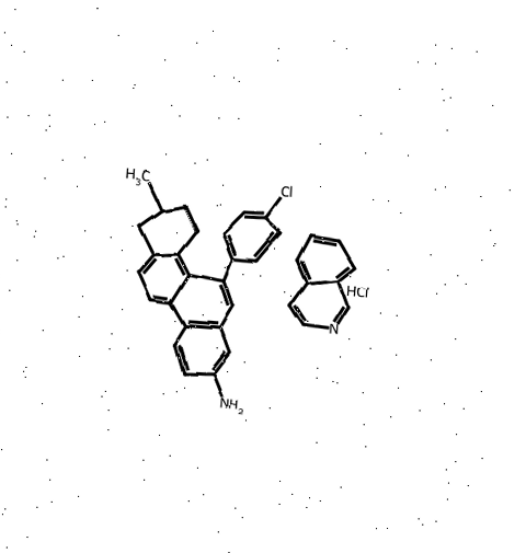 CC1CCc2c(ccc3c2c(-c2ccc(Cl)cc2)cc2cc(N)ccc23)C1.Cl.c1ccc2cnccc2c1